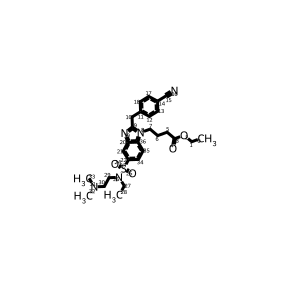 CCOC(=O)CCCn1c(Cc2ccc(C#N)cc2)nc2cc(S(=O)(=O)N(CC)CCN(C)C)ccc21